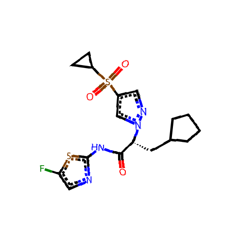 O=C(Nc1ncc(F)s1)[C@@H](CC1CCCC1)n1cc(S(=O)(=O)C2CC2)cn1